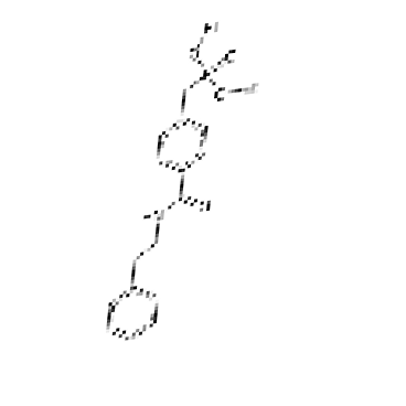 CCOP(=O)(Cc1ccc(C(=O)NCCc2ccccc2)cc1)OCC